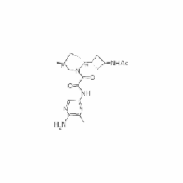 CC(=O)N[C@H]1C[C@H]([C@H]2CC[C@H](C)CN2C(=O)C(=O)Nc2cnc(N)c(C)c2)C1